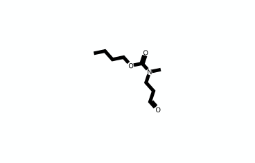 CCCCOC(=O)N(C)CCC=O